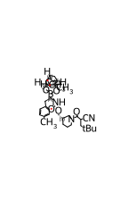 Cc1ccc(C[C@H](NC(=O)OC[C@H]2CCCN(C(=O)C(C#N)CC(C)(C)C)C2)B2O[C@@H]3C[C@@H]4C[C@@H](C4(C)C)[C@]3(C)O2)cc1